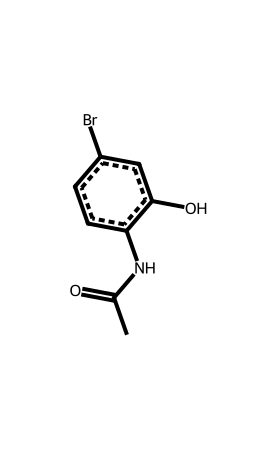 CC(=O)Nc1ccc(Br)cc1O